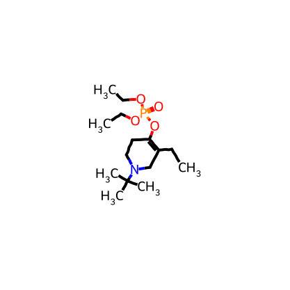 CCOP(=O)(OCC)OC1=C(CC)CN(C(C)(C)C)CC1